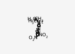 CCN(CC[N+](C)(C)C)c1ccc(N=Nc2nc3c([N+](=O)[O-])cc([N+](=O)[O-])cc3s2)cc1